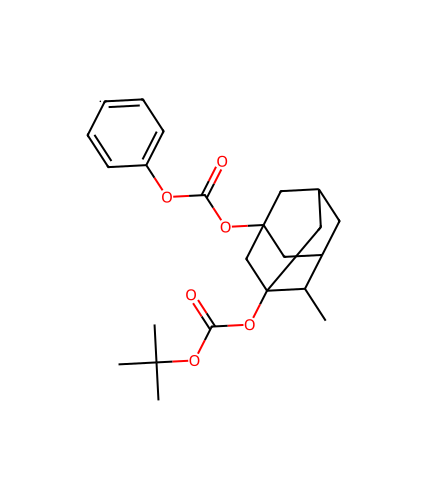 CC1C2CC3CC(OC(=O)Oc4cc[c]cc4)(C2)CC1(OC(=O)OC(C)(C)C)C3